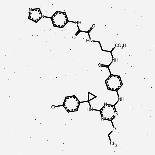 O=C(NCCC(NC(=O)c1ccc(Nc2nc(NC3(c4ccc(Cl)cc4)CC3)nc(OCC(F)(F)F)n2)cc1)C(=O)O)C(=O)Nc1ccc(-n2ccnc2)cc1